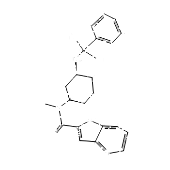 CCN(C(=O)c1cc2ncccc2[nH]1)C1CCC[C@H](NC(C)(C)c2ccccc2)C1